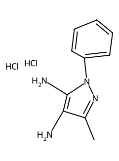 Cc1nn(-c2ccccc2)c(N)c1N.Cl.Cl